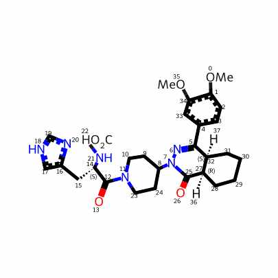 COc1ccc(C2=NN(C3CCN(C(=O)[C@H](Cc4c[nH]cn4)NC(=O)O)CC3)C(=O)[C@@H]3CCCC[C@H]23)cc1OC